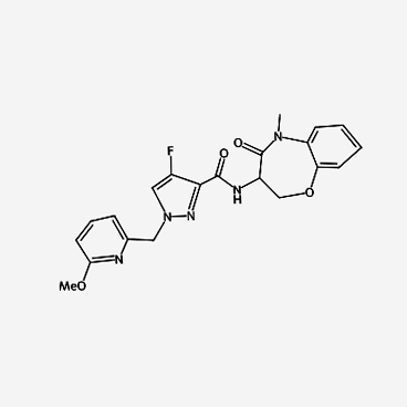 COc1cccc(Cn2cc(F)c(C(=O)NC3COc4ccccc4N(C)C3=O)n2)n1